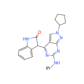 CC(C)Nc1nc(C2C(=O)Nc3ccccc32)c2cn(C3CCCC3)nc2n1